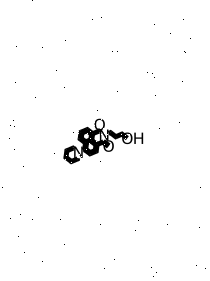 O=C1c2cccc3c(N4CCCCC4)ccc(c23)C(=O)N1CCCO